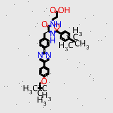 CC(C)(C)COc1ccc(-c2cnc(-c3ccc(C[C@H](NC(=O)c4ccc(C(C)(C)C)cc4)C(=O)NCCC(=O)O)cc3)nc2)cc1